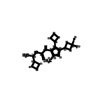 C[C@@H](OC(=O)Nc1c(C2CCC2)c(C2CC(F)(F)C2)nn1C)C1CCC1